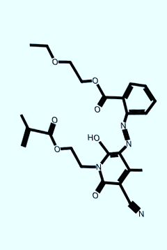 C=C(C)C(=O)OCCn1c(O)c(/N=N/c2ccccc2C(=O)OCCOCC)c(C)c(C#N)c1=O